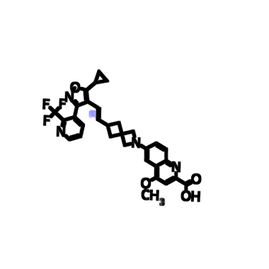 COc1cc(C(=O)O)nc2ccc(N3CC4(CC(/C=C/c5c(-c6cccnc6C(F)(F)F)noc5C5CC5)C4)C3)cc12